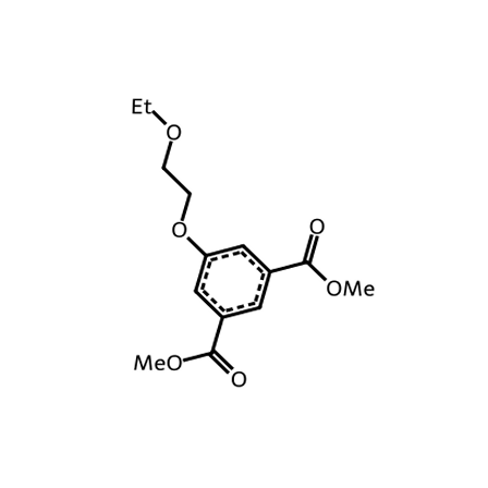 CCOCCOc1cc(C(=O)OC)cc(C(=O)OC)c1